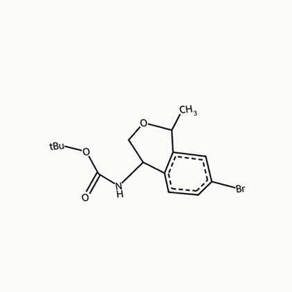 CC1OCC(NC(=O)OC(C)(C)C)c2ccc(Br)cc21